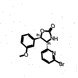 COc1cccc([C@H]2OC(=O)N[C@@H]2c2cccc(Br)n2)c1